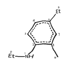 CCNc1ccc(CC)cc1C